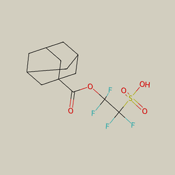 O=C(OC(F)(F)C(F)(F)S(=O)(=O)O)C12CC3CC(CC(C3)C1)C2